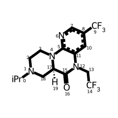 CC(C)N1CCN2c3ncc(C(F)(F)F)cc3N(CC(F)(F)F)C(=O)[C@H]2C1